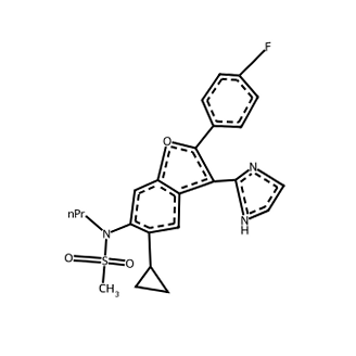 CCCN(c1cc2oc(-c3ccc(F)cc3)c(-c3ncc[nH]3)c2cc1C1CC1)S(C)(=O)=O